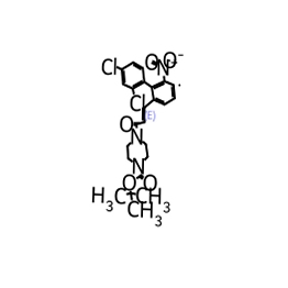 CC(C)(C)OC(=O)N1CCN(C(=O)/C=C/c2cc[c]c([N+](=O)[O-])c2-c2ccc(Cl)cc2Cl)CC1